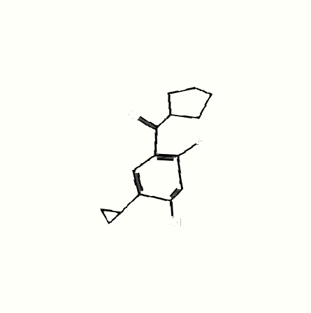 O=C(c1cc(C2CC2)c(O)cc1F)C1CCCC1